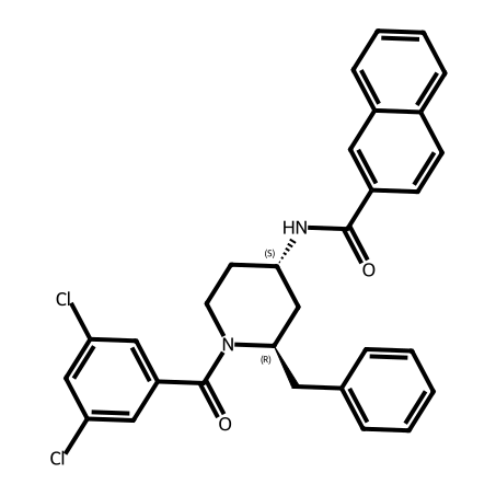 O=C(N[C@H]1CCN(C(=O)c2cc(Cl)cc(Cl)c2)[C@H](Cc2ccccc2)C1)c1ccc2ccccc2c1